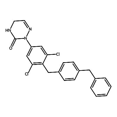 O=C1NCC=NN1c1cc(Cl)c(Cc2ccc(Cc3ccccc3)cc2)c(Cl)c1